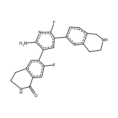 Nc1nc(F)c(-c2ccc3c(c2)CCNC3)cc1-c1cc2c(cc1F)C(=O)NCC2